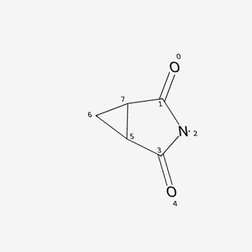 O=C1[N]C(=O)C2CC12